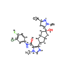 CC(C)n1nc([N+](=O)[O-])cc1C1(O)CC2CC(c3ncn(C)c3C(=O)Nc3ccc(F)c(Cl)c3)CC2C1